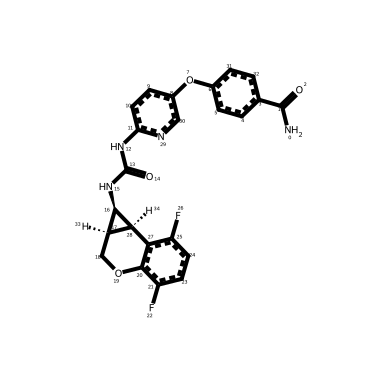 NC(=O)c1ccc(Oc2ccc(NC(=O)N[C@@H]3[C@@H]4COc5c(F)ccc(F)c5[C@@H]43)nc2)cc1